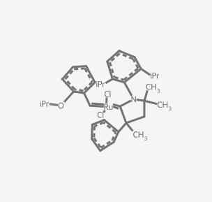 CC(C)Oc1ccccc1[CH]=[Ru]([Cl])([Cl])=[C]1N(c2c(C(C)C)cccc2C(C)C)C(C)(C)CC1(C)c1ccccc1